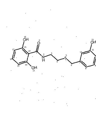 O=C(NCCSCc1cccc(O)c1)c1c(O)cccc1O